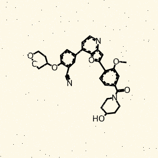 COc1cc(C(=O)N2CCC(O)CC2)ccc1-c1cc2nccc(-c3ccc(OC4CCOCC4)c(C#N)c3)c2o1